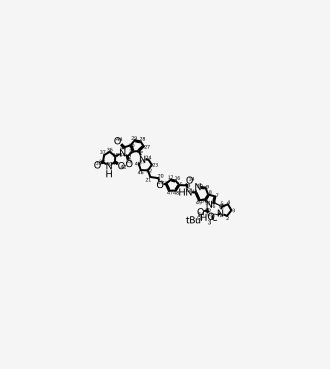 CN1CCC[C@@H]1c1cc2cnc(NC(=O)c3ccc(OCCC4CCN(c5cccc6c5C(=O)N(C5CCC(=O)NC5=O)C6=O)CC4)cc3)cc2n1C(=O)OC(C)(C)C